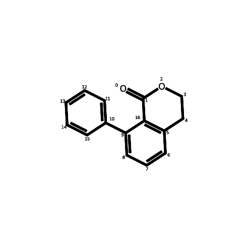 O=C1OCCc2cccc(-c3ccccc3)c21